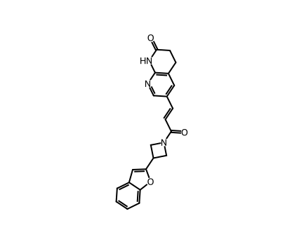 O=C1CCc2cc(C=CC(=O)N3CC(c4cc5ccccc5o4)C3)cnc2N1